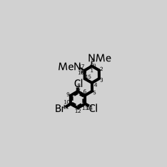 CN[C@@H]1CCC(Cc2c(Cl)cc(Br)cc2Cl)C[C@H]1NC